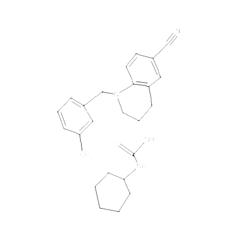 Cc1cccc(CN2C[C@@H](NC(=O)NC3CCCCC3)Cc3cc(C#N)ccc32)c1